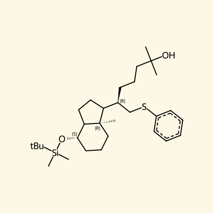 CC(C)(O)CCC[C@@H](CSc1ccccc1)C1CCC2[C@@H](O[Si](C)(C)C(C)(C)C)CCC[C@]12C